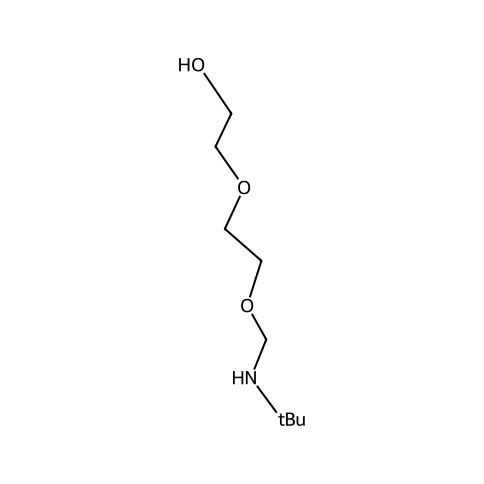 CC(C)(C)NCOCCOCCO